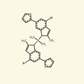 CC1=Cc2c(Br)cc(-c3cccs3)cc2C1[Si](C)(C)C1C(C)=Cc2c(Br)cc(-c3cccs3)cc21